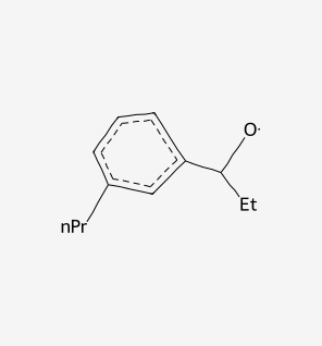 CCCc1cccc(C([O])CC)c1